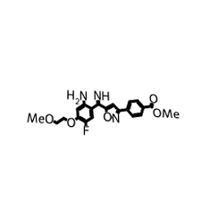 COCCOc1cc(N)c(C(=N)c2cc(-c3ccc(C(=O)OC)cc3)no2)cc1F